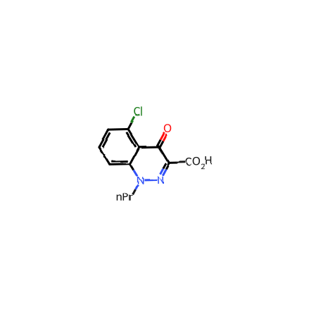 CCCn1nc(C(=O)O)c(=O)c2c(Cl)cccc21